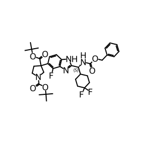 CC(C)(C)OC(=O)N1CCC(C(=O)OC(C)(C)C)(c2ccc3[nH]c([C@@H](NC(=O)OCc4ccccc4)C4CCC(F)(F)CC4)nc3c2F)C1